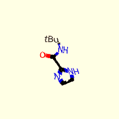 CC(C)(C)NC(=O)c1ncc[nH]1